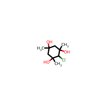 CC1(O)CC(C)(O)C(Cl)C(C)(O)C1